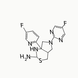 NC1NC2(c3ccc(F)cn3)CN(c3ncc(F)cn3)CC2CS1